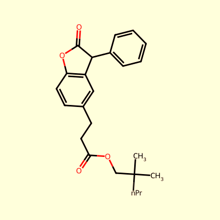 CCCC(C)(C)COC(=O)CCc1ccc2c(c1)C(c1ccccc1)C(=O)O2